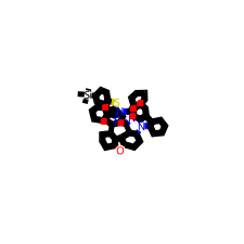 C[Si](C)(C)c1ccc2sc3ccc(-c4cccc5oc6ccc(-n7c8ccccc8c8ccccc87)c(-c7nc(-c8ccccc8)nc(-c8ccccc8)n7)c6c45)cc3c2c1